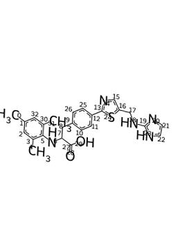 Cc1cc(C)c(NC(Cc2ccc(-c3ncc(CNc4ncc[nH]4)s3)cc2)C(=O)O)c(C)c1